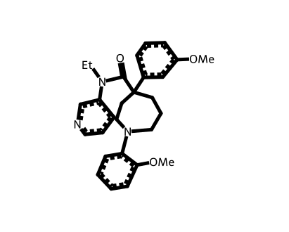 CCN(C(=O)C1(c2cccc(OC)c2)CCCN(c2ccccc2OC)CC1)c1cccnc1